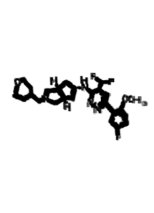 COc1ccc(F)cc1-c1cc(C(F)F)c(N[C@@H]2C[C@@H]3CN(CC4CCOCC4)C[C@@H]3C2)nn1